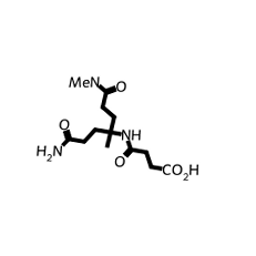 CNC(=O)CCC(C)(CCC(N)=O)NC(=O)CCC(=O)O